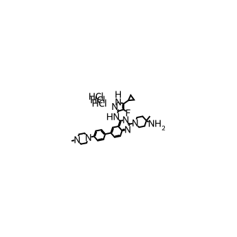 CN1CCN(c2ccc(-c3ccc4nc(N5CCC(C)(N)CC5)nc(Nc5n[nH]c(C6CC6)c5F)c4c3)cc2)CC1.Cl.Cl.Cl